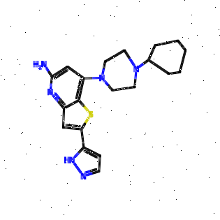 Nc1cc(N2CCN(C3CCCCC3)CC2)c2sc(-c3ccn[nH]3)cc2n1